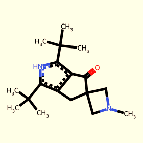 CN1CC2(Cc3c(C(C)(C)C)[nH]c(C(C)(C)C)c3C2=O)C1